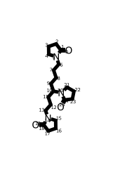 O=C1CCCN1CCCCC(CCCN1CCCC1=O)N1CCCC1=O